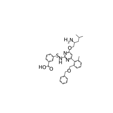 Cc1cccc(COCc2ccccc2)c1-c1cc(OCC(N)CC(C)C)nc(NSc2cccc(C(=O)O)c2)n1